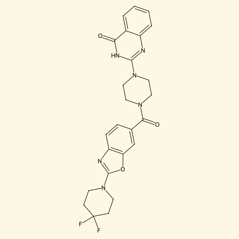 O=C(c1ccc2nc(N3CCC(F)(F)CC3)oc2c1)N1CCN(c2nc3ccccc3c(=O)[nH]2)CC1